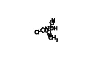 CN1C2CCC1c1c(n(CC(O)c3ccncc3)c3ccc(Cl)cc13)C2